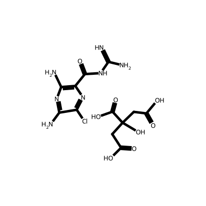 N=C(N)NC(=O)c1nc(Cl)c(N)nc1N.O=C(O)CC(O)(CC(=O)O)C(=O)O